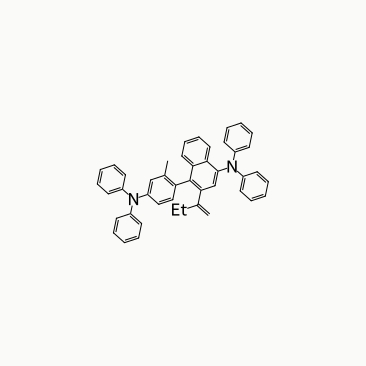 C=C(CC)c1cc(N(c2ccccc2)c2ccccc2)c2ccccc2c1-c1ccc(N(c2ccccc2)c2ccccc2)cc1C